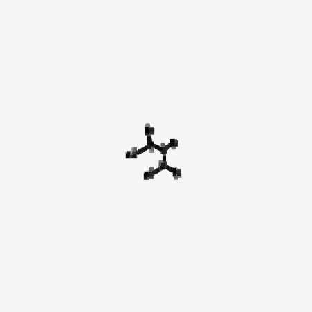 CCB(P(CC)CC)P(CC)CC